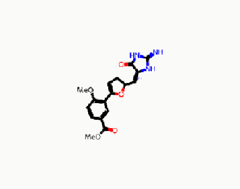 COC(=O)c1ccc(OC)c(C2=CCC(/C=C3/NC(=N)NC3=O)O2)c1